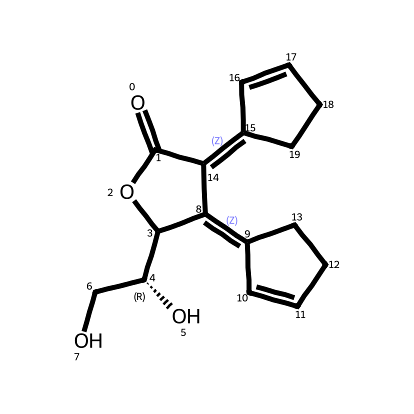 O=C1OC([C@H](O)CO)C(=C2\C=CCC2)/C1=C1/C=CCC1